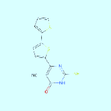 N#Cc1c(-c2ccc(-c3cccs3)s2)nc(S)[nH]c1=O